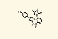 CC(Nc1nccc(N2CC(C)N(C)C2=O)n1)c1cn(-c2ccc(Cl)cc2)cn1